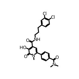 CN(C)C(=O)c1ccc(-c2cc(C(=O)NCCCc3ccc(Cl)c(Cl)c3)c(O)c(=O)n2C)cc1